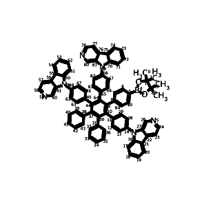 CC1(C)OB(c2ccc(-c3c(-c4ccc(-n5c6ccccc6c6ccncc65)cc4)c(-c4ccccc4)c(-c4ccccc4)c(-c4ccc(-n5c6ccccc6c6ccncc65)cc4)c3-c3ccc(-n4c5ccccc5c5ccncc54)cc3)cc2)OC1(C)C